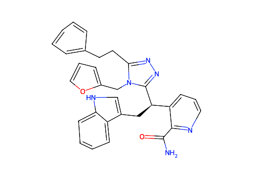 NC(=O)c1ncccc1[C@@H](Cc1c[nH]c2ccccc12)c1nnc(CCc2ccccc2)n1Cc1ccco1